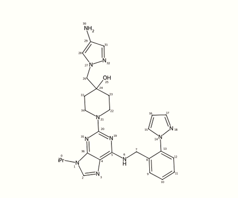 CC(C)n1cnc2c(NCc3ccccc3-n3cccn3)nc(N3CCC(O)(Cn4cc(N)cn4)CC3)nc21